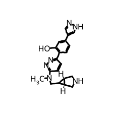 CN(CC1[C@H]2CNC[C@@H]12)c1ccc(-c2ccc(-c3cn[nH]c3)cc2O)nn1